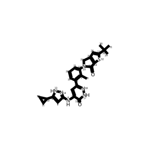 Cc1c(-c2cc(Nc3cc(C4CC4)[nH]n3)c(=O)[nH]n2)cccc1N1Cc2cc(C(C)(C)C)sc2C1=O